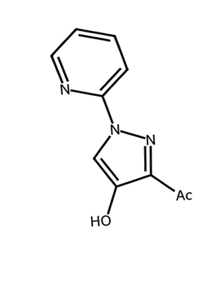 CC(=O)c1nn(-c2ccccn2)cc1O